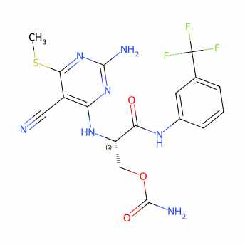 CSc1nc(N)nc(N[C@@H](COC(N)=O)C(=O)Nc2cccc(C(F)(F)F)c2)c1C#N